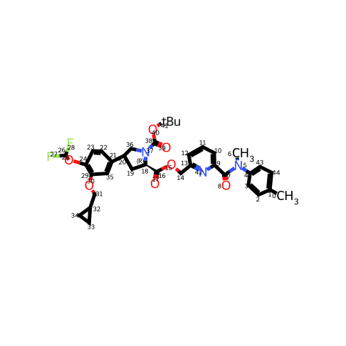 Cc1ccc(N(C)C(=O)c2cccc(COC(=O)[C@H]3CC(c4ccc(OC(F)F)c(OCC5CC5)c4)CN3C(=O)OC(C)(C)C)n2)cc1